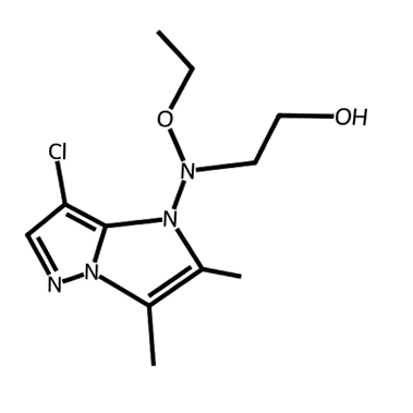 CCON(CCO)n1c(C)c(C)n2ncc(Cl)c12